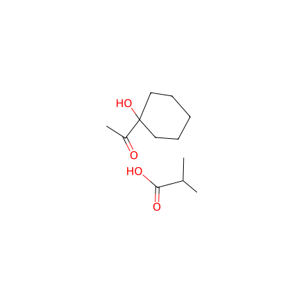 CC(=O)C1(O)CCCCC1.CC(C)C(=O)O